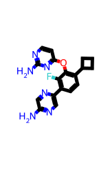 Nc1cnc(-c2ccc(C3CCC3)c(Oc3ccnc(N)n3)c2F)cn1